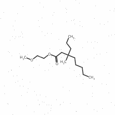 CCCCCC(C)(CCC)CC(=O)OCCOC